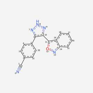 N#Cc1ccc(-c2n[nH]nc2-c2onc3ccccc23)cc1